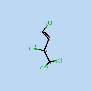 ClC=CC(Cl)C(Cl)Cl